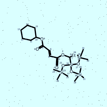 CCC(OC(=O)/C=C/C(=O)OC1CCCCC1)[Si](O[Si](C)(C)C)(O[Si](C)(C)C)O[Si](C)(C)C